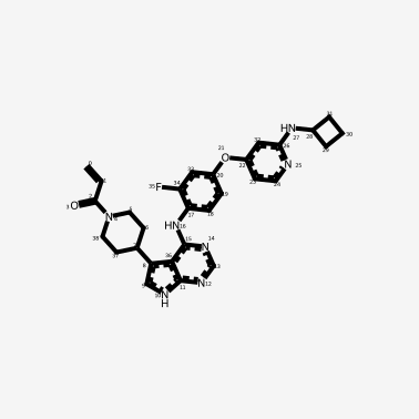 C=CC(=O)N1CCC(c2c[nH]c3ncnc(Nc4ccc(Oc5ccnc(NC6CCC6)c5)cc4F)c23)CC1